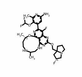 Cc1nc(N)cc(-c2nc3c4c(nc(OCC56CCCN5C[C@H](F)C6)nc4c2F)NCC(C)NCC[C@H](C)O3)c1OC(F)F